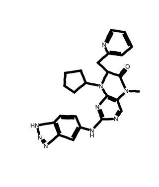 CN1C(=O)C(Cc2ccccn2)N(C2CCCC2)c2nc(Nc3ccc4[nH]nnc4c3)ncc21